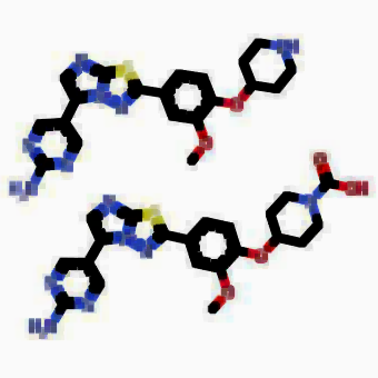 COc1cc(-c2nn3c(-c4cnc(N)nc4)cnc3s2)ccc1OC1CCN(C(=O)O)CC1.COc1cc(-c2nn3c(-c4cnc(N)nc4)cnc3s2)ccc1OC1CCNCC1